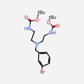 CC(C)(C)OC(=O)NCCN(CCNC(=O)OC(C)(C)C)Cc1cccc(Br)c1